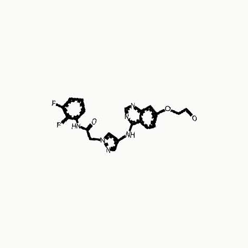 O=CCOc1ccc2c(Nc3cnn(CC(=O)Nc4cccc(F)c4F)c3)ncnc2c1